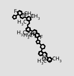 Cc1ccc(C)c(-c2ccc3c(C4CCCC(C5CCC(c6cc7c(ccc(-c8cc(CCc9cc(C)cc(-c%10ccc%11c(C%12CCCC%12)c(F)ccc%11[n+]%10C)c9C)cc(C)c8C)[n+]7C)cc6F)C5)C4)cccc3[n+]2C)c1